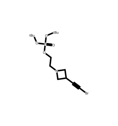 CC(C)(C)OP(=O)(OCCN1CC(C#CBr)C1)OC(C)(C)C